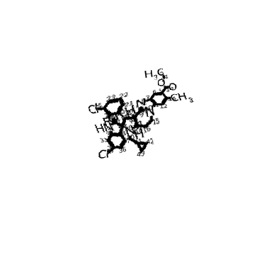 CCOC(=O)c1cc2nc3n(c2cc1C)CC[C@H]1[C@@H]3[C@H](c2cccc(Cl)c2F)[C@]2(C(=O)Nc3cc(Cl)ccc32)N1CC1CC1